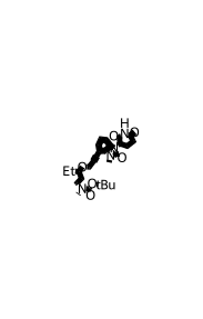 CCC(CCN(C)C(=O)OC(C)(C)C)OCC#Cc1cccc2c1n(C)c(=O)n2C1CCC(=O)NC1=O